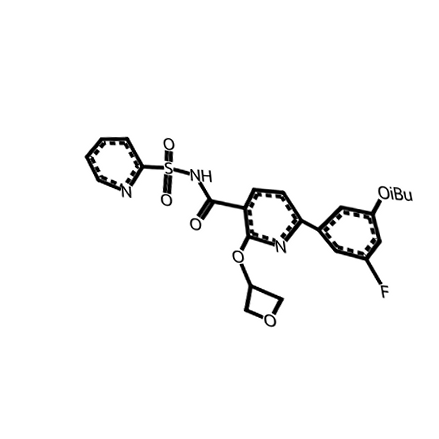 CC(C)COc1cc(F)cc(-c2ccc(C(=O)NS(=O)(=O)c3ccccn3)c(OC3COC3)n2)c1